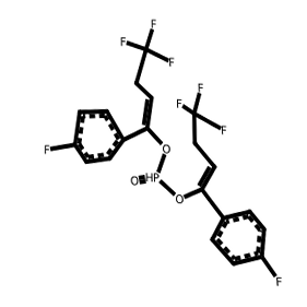 O=[PH](OC(=CCC(F)(F)F)c1ccc(F)cc1)OC(=CCC(F)(F)F)c1ccc(F)cc1